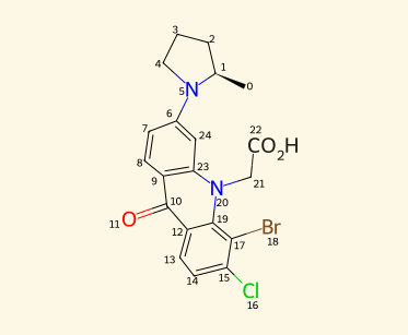 C[C@@H]1CCCN1c1ccc2c(=O)c3ccc(Cl)c(Br)c3n(CC(=O)O)c2c1